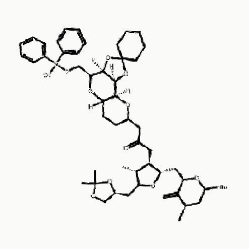 C=C1C(C[C@@H]2OC(C[C@H]3COC(C)(C)O3)[C@H](C)[C@H]2CC(=O)CC2CC[C@@H]3O[C@@H](CO[Si](c4ccccc4)(c4ccccc4)C(C)(C)C)[C@H]4OC5(CCCCC5)O[C@H]4[C@H]3O2)OC(CCCC)C[C@H]1C